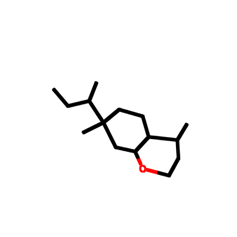 CCC(C)C1(C)CCC2C(C)CCOC2C1